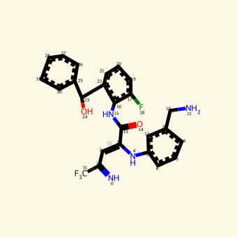 N=C(/C=C(\Nc1cccc(CN)c1)C(=O)Nc1c(F)cccc1C(O)c1ccccc1)C(F)(F)F